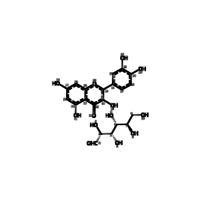 O=C[C@H](O)[C@@H](O)[C@H](O)[C@H](O)CO.O=c1c(O)c(-c2ccc(O)c(O)c2)oc2cc(O)cc(O)c12